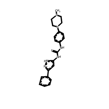 CN1CCN(c2ccc(NC(=S)Nc3cc(-c4ccccc4)n[nH]3)cc2)CC1